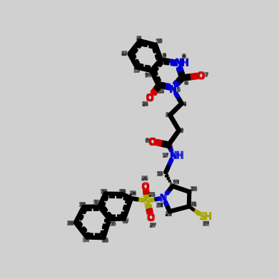 O=C(CCCn1c(=O)[nH]c2ccccc2c1=O)NC[C@@H]1C[C@@H](S)CN1S(=O)(=O)c1ccc2ccccc2c1